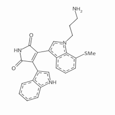 CSc1cccc2c(C3=C(c4c[nH]c5ccccc45)C(=O)NC3=O)cn(CCCN)c12